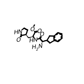 COC(=O)[C@H](C[C@@H]1CCNC1=O)NC(=O)[C@@H](N)C1Cc2ccccc2C1